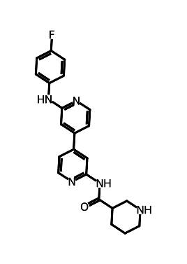 O=C(Nc1cc(-c2ccnc(Nc3ccc(F)cc3)c2)ccn1)C1CCCNC1